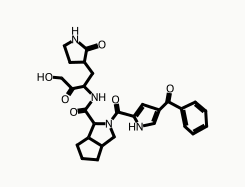 O=C(c1ccccc1)c1c[nH]c(C(=O)N2CC3CCCC3C2C(=O)NC(CC2CCNC2=O)C(=O)CO)c1